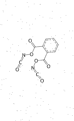 O=C=NOC(=O)c1ccccc1C(=O)ON=C=O